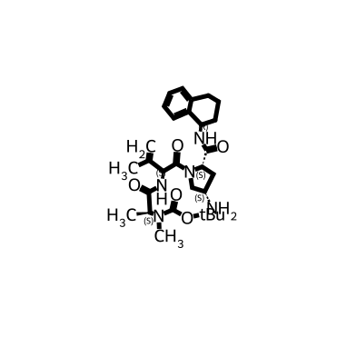 C=C(C)[C@H](NC(=O)[C@H](C)N(C)C(=O)OC(C)(C)C)C(=O)N1C[C@@H](N)C[C@H]1C(=O)N[C@@H]1CCCc2ccccc21